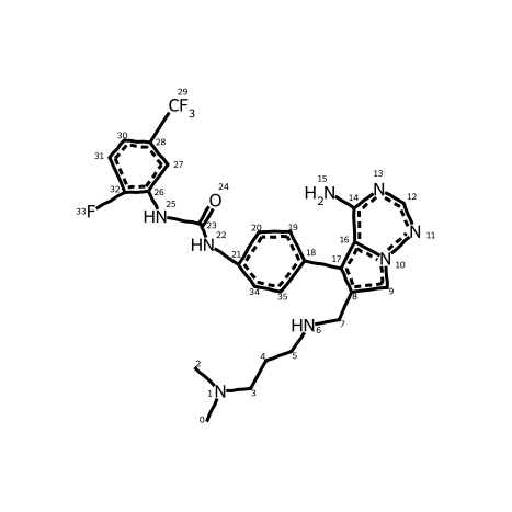 CN(C)CCCNCc1cn2ncnc(N)c2c1-c1ccc(NC(=O)Nc2cc(C(F)(F)F)ccc2F)cc1